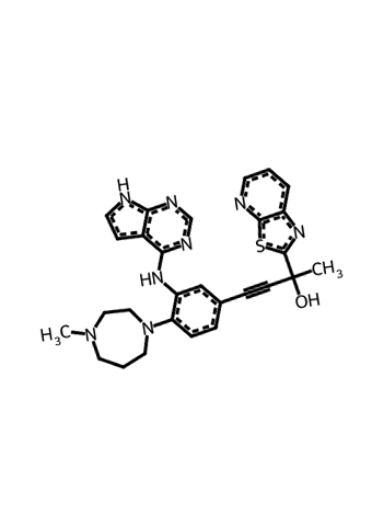 CN1CCCN(c2ccc(C#CC(C)(O)c3nc4cccnc4s3)cc2Nc2ncnc3[nH]ccc23)CC1